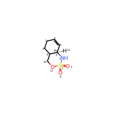 O=S1(=O)N[C@@H]2C=CCCC2CO1